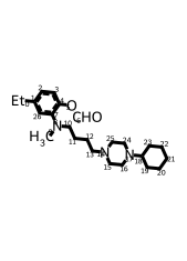 CCc1ccc(OC=O)c(N(C)CCCCN2CCN(C3CCCCC3)CC2)c1